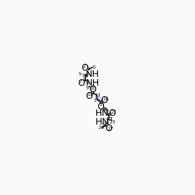 CC(=O)N[C@@H](C)C(=O)NCOC(=O)/C=C/C(=O)OCNC(=O)[C@H](C)NC(C)=O